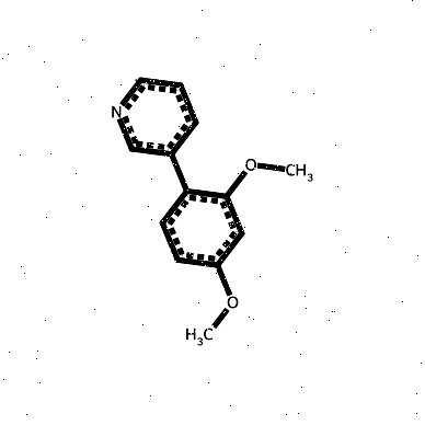 COc1ccc(-c2cc[c]nc2)c(OC)c1